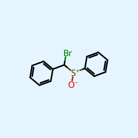 [O-][S+](c1ccccc1)C(Br)c1ccccc1